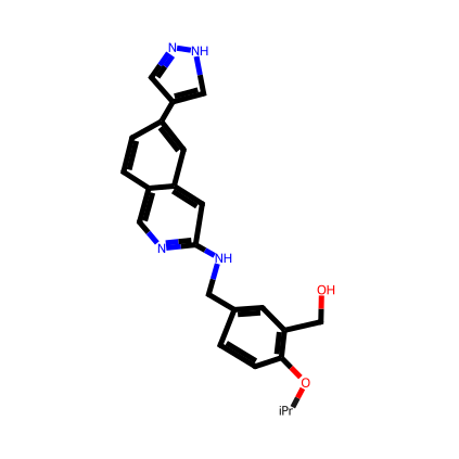 CC(C)Oc1ccc(CNc2cc3cc(-c4cn[nH]c4)ccc3cn2)cc1CO